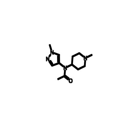 CC(=O)N(c1cnn(C)c1)C1CCN(C)CC1